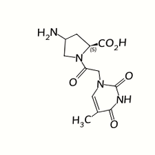 Cc1cn(CC(=O)N2CC(N)C[C@H]2C(=O)O)c(=O)[nH]c1=O